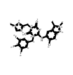 Cc1c2cc(Nc3nc(=O)n(Cc4ncn(C)n4)c(=O)n3Cc3cc(F)c(F)c(F)c3)c(Cl)cc2nn1C